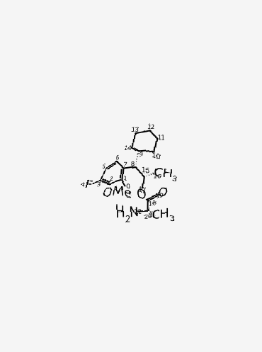 COc1cc(F)ccc1[C@H](C1CCCCC1)[C@H](C)OC(=O)[C@H](C)N